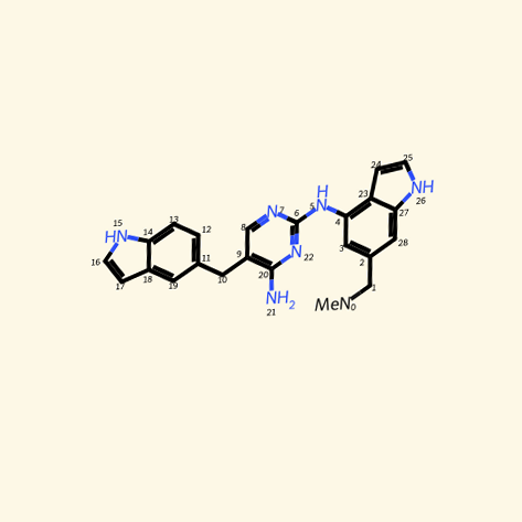 CNCc1cc(Nc2ncc(Cc3ccc4[nH]ccc4c3)c(N)n2)c2cc[nH]c2c1